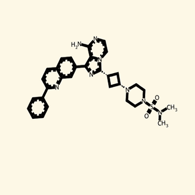 CN(C)S(=O)(=O)N1CCN([C@H]2C[C@@H](c3nc(-c4ccc5ccc(-c6ccccc6)nc5c4)c4c(N)nccn43)C2)CC1